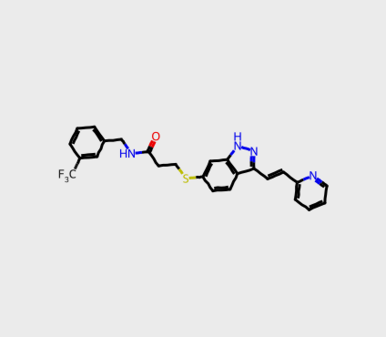 O=C(CCSc1ccc2c(C=Cc3ccccn3)n[nH]c2c1)NCc1cccc(C(F)(F)F)c1